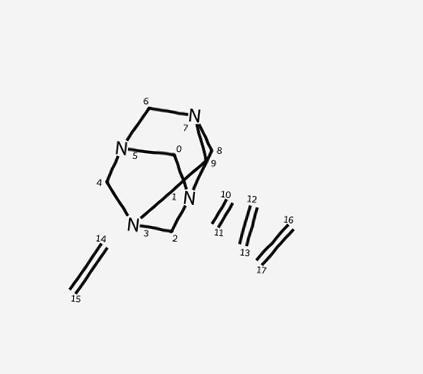 C1N2CN3CN1CN(C2)C3.C=C.C=C.C=C.C=C